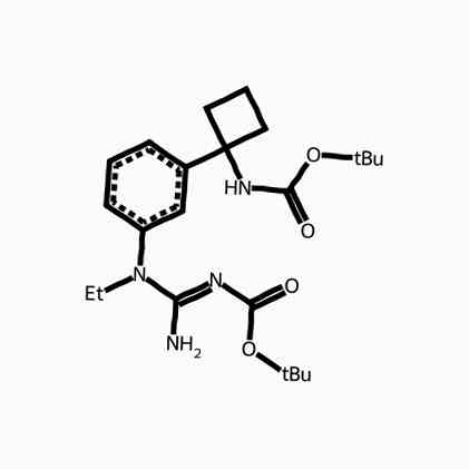 CCN(C(N)=NC(=O)OC(C)(C)C)c1cccc(C2(NC(=O)OC(C)(C)C)CCC2)c1